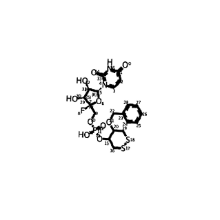 O=c1ccn([C@@H]2O[C@](F)(COP(=O)(O)OC3CSSCC3OCc3ccccc3)[C@@H](O)[C@H]2O)c(=O)[nH]1